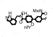 CCCOc1cc(C(=O)N(C)Cc2cccc3cn[nH]c23)ccc1-c1ccc(F)c(C(=O)NC)c1